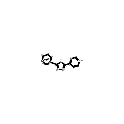 c1cc(-c2nnc(N3CCN4CCC3CC4)o2)ncn1